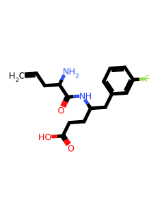 C=CCC(N)C(=O)NC(CCC(=O)O)Cc1cccc(F)c1